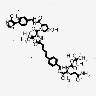 Cc1ncsc1-c1ccc(CNC(=O)[C@@H]2C[C@@H](O)CN2C(=O)[C@@H](NC(=O)CCCCc2ccc(CO[C@H](C)[C@H](CCC(N)=O)NC(=O)OC(C)(C)C)cc2)C(C)(C)C)cc1